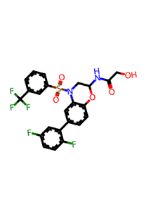 O=C(CO)NC1CN(S(=O)(=O)c2cccc(C(F)(F)F)c2)c2cc(-c3cc(F)ccc3F)ccc2O1